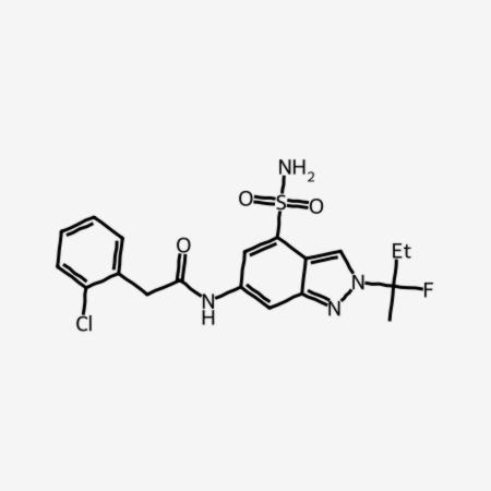 CCC(C)(F)n1cc2c(S(N)(=O)=O)cc(NC(=O)Cc3ccccc3Cl)cc2n1